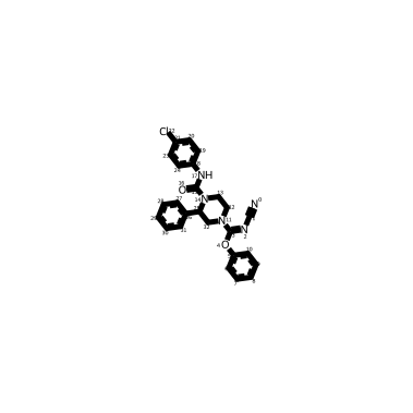 N#CN=C(Oc1ccccc1)N1CCN(C(=O)Nc2ccc(Cl)cc2)C(c2ccccc2)C1